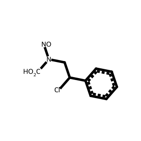 O=NN(CC(Cl)c1ccccc1)C(=O)O